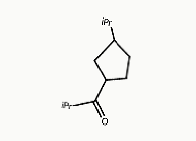 CC(C)C(=O)C1CCC(C(C)C)C1